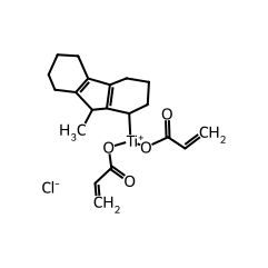 C=CC(=O)[O][Ti+]([O]C(=O)C=C)[CH]1CCCC2=C1C(C)C1=C2CCCC1.[Cl-]